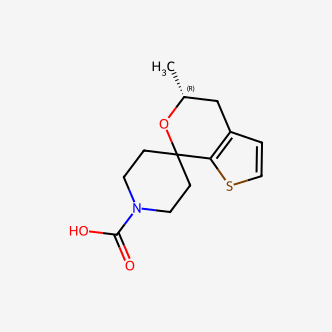 C[C@@H]1Cc2ccsc2C2(CCN(C(=O)O)CC2)O1